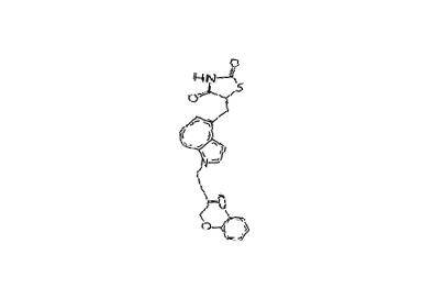 O=C1NC(=O)C(Cc2cccc3c2ccn3CC2COc3ccccc3O2)S1